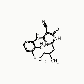 CCC(C)Cc1nc(Nc2cccc(F)c2C)c(C#N)c(=O)[nH]1